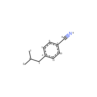 [CH2]C(C)Cc1ccc(C#N)cc1